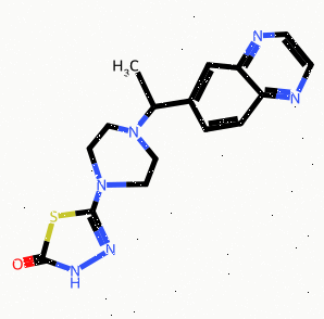 CC(c1ccc2nccnc2c1)N1CCN(c2n[nH]c(=O)s2)CC1